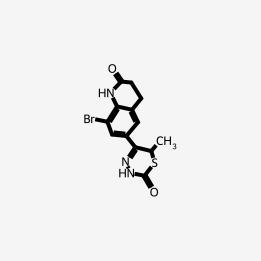 CC1SC(=O)NN=C1c1cc(Br)c2c(c1)CCC(=O)N2